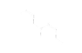 C/C=C\CN(C)/N=C\CC